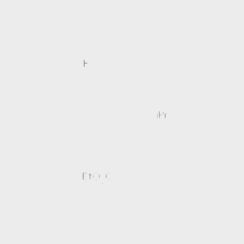 CCOC(=O)Cc1ccc(F)cc1C(C)C